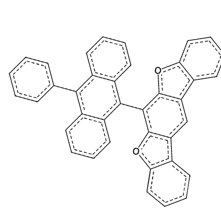 c1ccc(-c2c3ccccc3c(-c3c4oc5ccccc5c4cc4c3oc3ccccc34)c3ccccc23)cc1